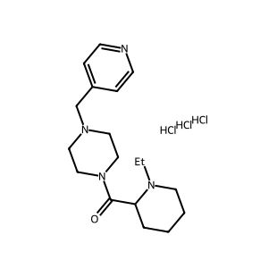 CCN1CCCCC1C(=O)N1CCN(Cc2ccncc2)CC1.Cl.Cl.Cl